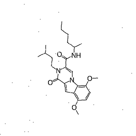 CCCCC(C)NC(=O)c1cn2c(cc3c(OC)ccc(OC)c32)c(=O)n1CCC(C)C